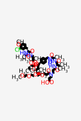 CC[C@H](OC(=O)[C@H](CC(C)C)OC(=O)C(C)(C)CNC(=O)[C@@H](Cc1ccc(OC)c(Cl)c1)NC(C)=O)[C@H](C)[C@H]1O[C@@H]1c1ccc(CNC(=O)[C@H](C)NC(=O)[C@@H](NC(=O)CCN(CCC(=O)O)C(=O)CCOCCOCCOCCOC)C(C)C)cc1